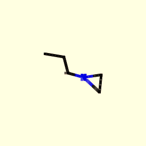 CC[CH]N1CC1